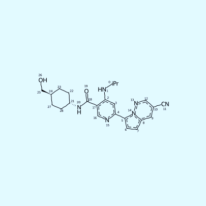 CC(C)Nc1cc(-c2ccc3cc(C#N)cnn23)ncc1C(=O)N[C@H]1CC[C@H](CO)CC1